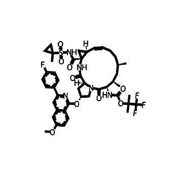 COc1ccc2c(O[C@@H]3C[C@H]4C(=O)N[C@]5(C(=O)NS(=O)(=O)C6(C)CC6)C[C@H]5/C=C\CC[C@@H](C)C[C@@H](C)[C@H](NC(=O)OC(C)(C)C(F)(F)F)C(=O)N4C3)nc(-c3ccc(F)cc3)cc2c1